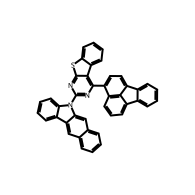 c1ccc2c(c1)-c1cccc3c(-c4nc(-n5c6ccccc6c6cc7ccccc7cc65)nc5sc6ccccc6c45)ccc-2c13